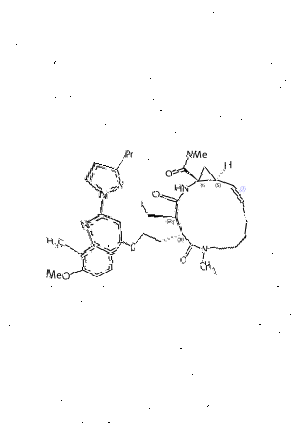 CNC(=O)[C@@]12C[C@H]1/C=C\CCCCN(C)C(=O)[C@H](CCOc1cc(-n3ccc(C(C)C)n3)nc3c(C)c(OC)ccc13)[C@@H](CI)C(=O)N2